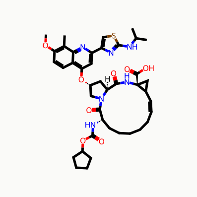 COc1ccc2c(O[C@@H]3C[C@H]4C(=O)N[C@]5(C(=O)O)CC5/C=C\CCCCC[C@H](NC(=O)OC5CCCC5)C(=O)N4C3)cc(-c3csc(NC(C)C)n3)nc2c1C